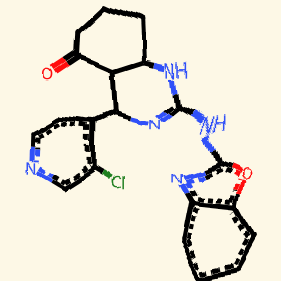 O=C1CCCC2NC(Nc3nc4ccccc4o3)=NC(c3ccncc3Cl)C12